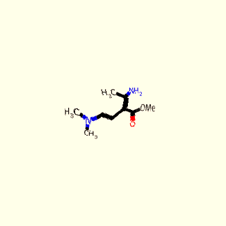 COC(=O)C(CCN(C)C)=C(C)N